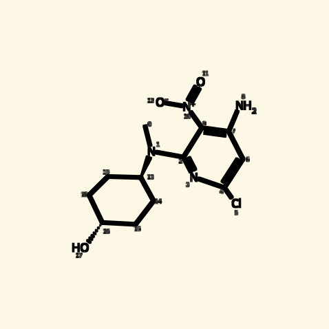 CN(c1nc(Cl)cc(N)c1[N+](=O)[O-])[C@H]1CC[C@H](O)CC1